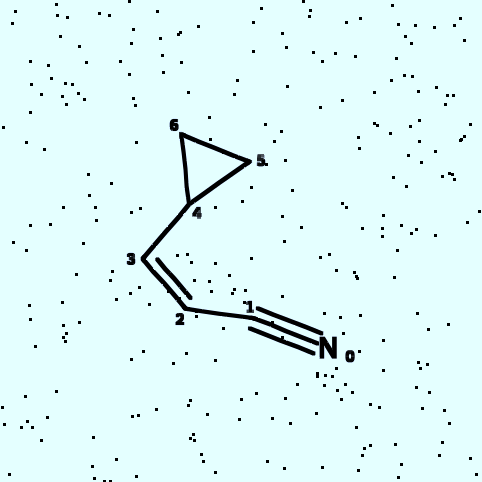 N#C/C=C\C1CC1